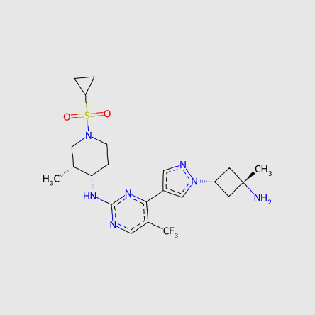 C[C@@H]1CN(S(=O)(=O)C2CC2)CC[C@@H]1Nc1ncc(C(F)(F)F)c(-c2cnn([C@H]3C[C@@](C)(N)C3)c2)n1